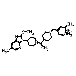 C=C(N)/C=C(\C=C/N)CN1CCC(C(=C)N2CCC(n3c(SC)nc4cc(C)cnc43)CC2)CC1